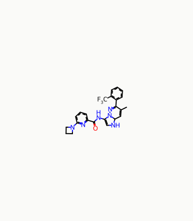 CC1=CC2NC=C(NC(=O)c3cccc(N4CCC4)n3)N2N=C1c1ccccc1C(F)(F)F